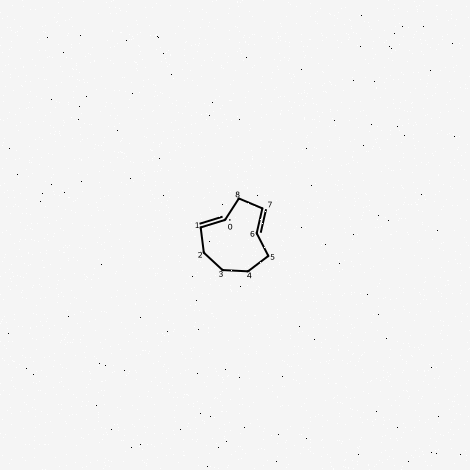 [C]1=C/CCCC/C=C/C/1